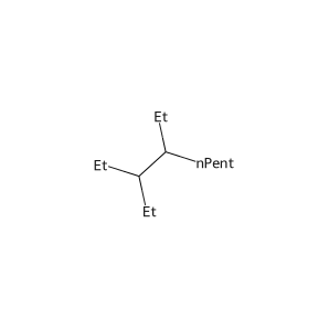 CCCCCC(CC)C(CC)CC